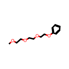 COCCOCCOCCOc1ccccc1